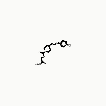 CNC(=O)COC(=O)N1CCN(CCOc2ccc(Cl)cc2)CC1